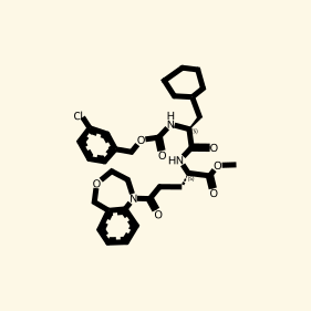 COC(=O)[C@H](CCC(=O)N1CCOCc2ccccc21)NC(=O)[C@H](CC1CCCCC1)NC(=O)OCc1cccc(Cl)c1